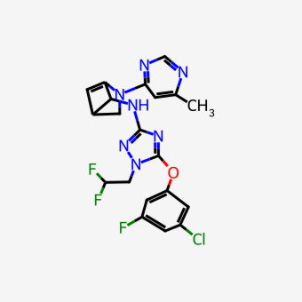 Cc1cc(N2CC3C=C2C3Nc2nc(Oc3cc(F)cc(Cl)c3)n(CC(F)F)n2)ncn1